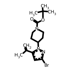 C=C(C)c1cc(Br)nn1C1CCN(C(=O)OC(C)(C)C)CC1